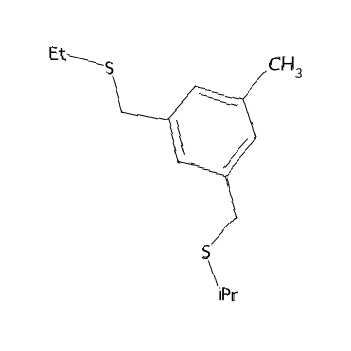 CCSCc1cc(C)cc(CSC(C)C)c1